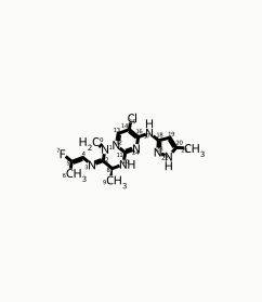 C=N/C(=N\C=C(/C)F)[C@H](C)Nc1ncc(Cl)c(Nc2cc(C)[nH]n2)n1